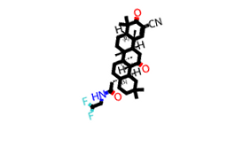 CC1(C)CC[C@@]2(CC(=O)NCC(F)F)CC[C@]3(C)[C@H](C(=O)C[C@@H]4[C@@]5(C)C=C(C#N)C(=O)C(C)(C)[C@@H]5CC[C@]43C)[C@H]2C1